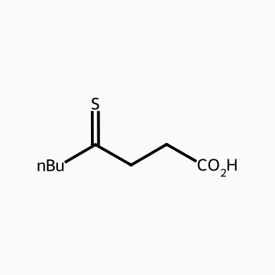 CCCCC(=S)CCC(=O)O